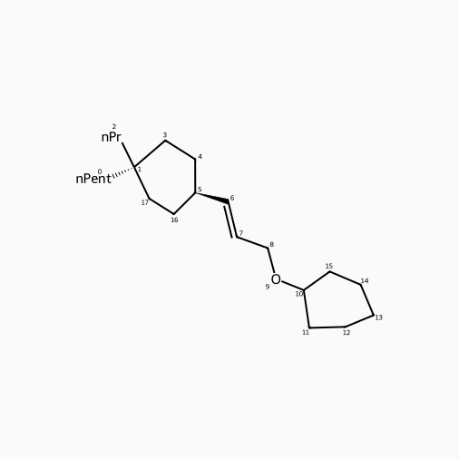 CCCCC[C@]1(CCC)CC[C@@H](/C=C/COC2CCCCC2)CC1